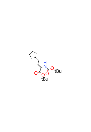 CC(C)(C)OC(=O)N/C(=C\CC1CCCC1)C(=O)OC(C)(C)C